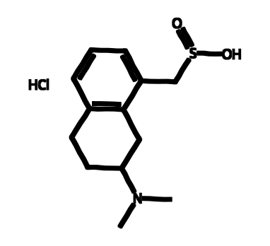 CN(C)C1CCc2cccc(CS(=O)O)c2C1.Cl